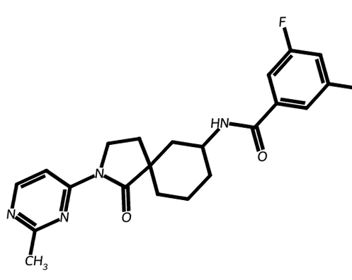 Cc1nccc(N2CCC3(CCCC(NC(=O)c4cc(F)cc(F)c4)C3)C2=O)n1